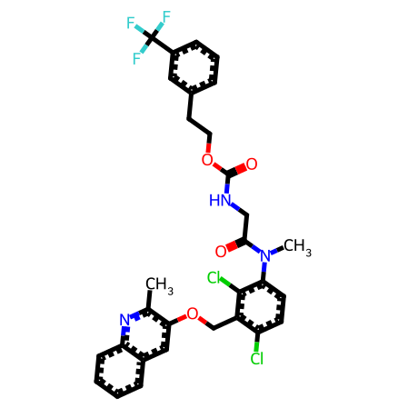 Cc1nc2ccccc2cc1OCc1c(Cl)ccc(N(C)C(=O)CNC(=O)OCCc2cccc(C(F)(F)F)c2)c1Cl